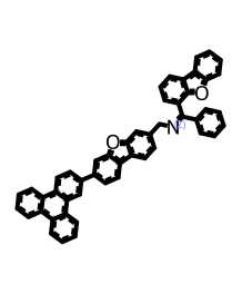 c1ccc(/C(=N/Cc2ccc3c(c2)oc2cc(-c4ccc5c6ccccc6c6ccccc6c5c4)ccc23)c2cccc3c2oc2ccccc23)cc1